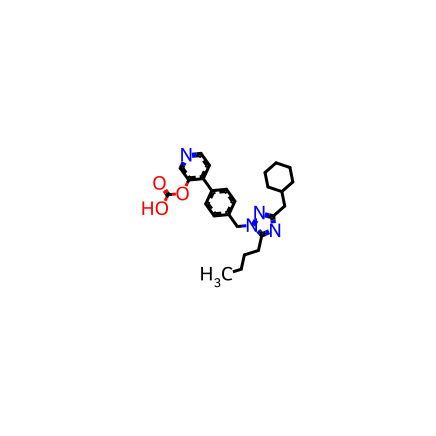 CCCCc1nc(CC2CCCCC2)nn1Cc1ccc(-c2ccncc2OC(=O)O)cc1